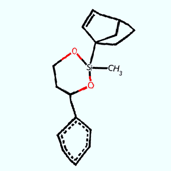 C[Si]1(C23C=CC(CC2)C3)OCCC(c2ccccc2)O1